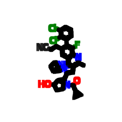 Cc1nc2c(F)c(-c3cccc(Cl)c3Cl)c(CCC#N)cc2c2c1cc(C1C3CC(CC3O)N1C(=O)C1CC1)n2C1C2CNC1C2